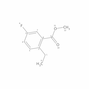 CCc1ccc(F)cc1C(=O)OC